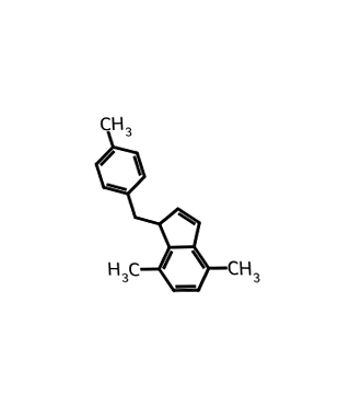 Cc1ccc(CC2C=Cc3c(C)ccc(C)c32)cc1